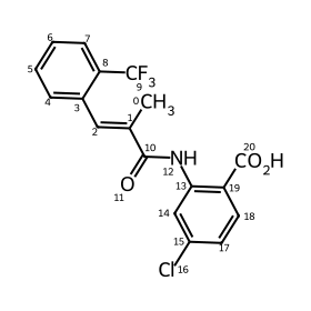 CC(=Cc1ccccc1C(F)(F)F)C(=O)Nc1cc(Cl)ccc1C(=O)O